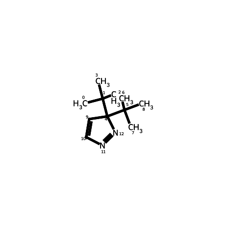 CC(C)(C)C1(C(C)(C)C)C=[C]N=N1